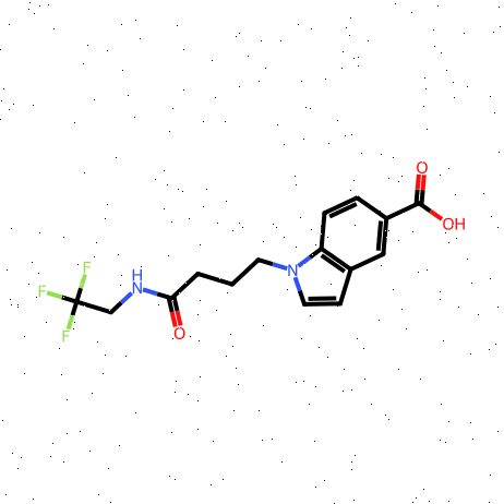 O=C(CCCn1ccc2cc(C(=O)O)ccc21)NCC(F)(F)F